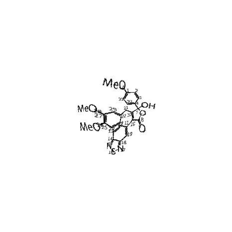 COc1ccc(C2(O)OC(=O)C(c3ccc4nsnc4c3)=C2Cc2ccc(OC)c(OC)c2)cc1